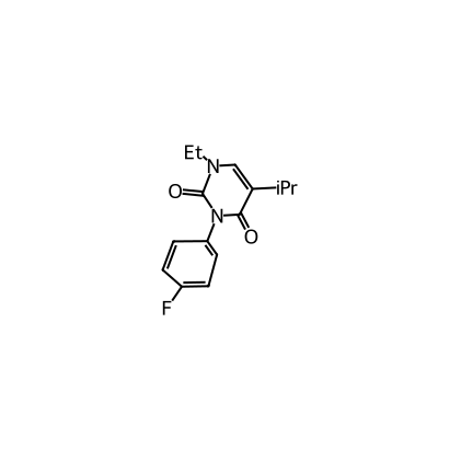 CCn1cc(C(C)C)c(=O)n(-c2ccc(F)cc2)c1=O